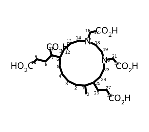 CC1CCCCC(C(CCC(=O)O)C(=O)O)CCCN(CC(=O)O)CCN(CC(=O)O)CCC1CCC(=O)O